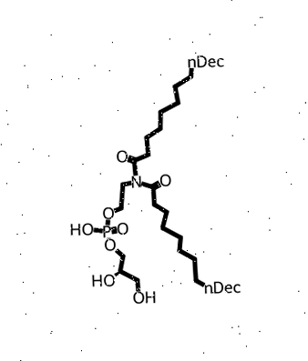 CCCCCCCCCCCCCCCCCC(=O)N(CCOP(=O)(O)OC[C@H](O)CO)C(=O)CCCCCCCCCCCCCCCCC